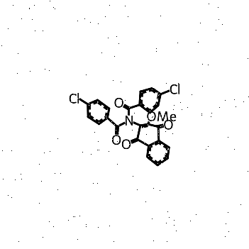 COC1=C(N(C(=O)c2ccc(Cl)cc2)C(=O)c2ccc(Cl)cc2)C(=O)c2ccccc2C1=O